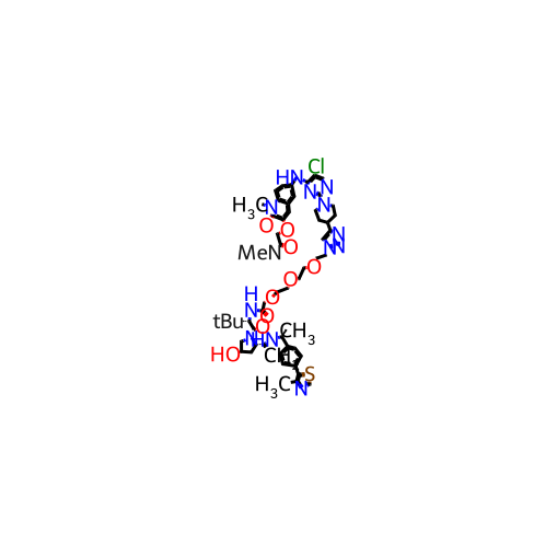 C=C(N[C@@H](C)c1ccc(-c2scnc2C)cc1)[C@@H]1C[C@@H](O)CN1C(=O)[C@@H](NC(=O)COCCOCCOCCn1cc(C2CCN(c3ncc(Cl)c(Nc4ccc5c(c4)cc(OCC(=O)NC)c(=O)n5C)n3)CC2)nn1)C(C)(C)C